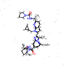 COc1cc(C(=O)N2C[C@H]3CC[C@@H]2[C@@H]3N)cc2nc(-c3cc4ccc([C@@H](C)NC(=O)N5CCCC5)nc4n3CC3CC3)c(C)n12